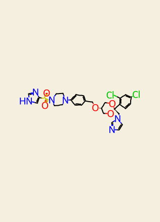 O=S(=O)(c1c[nH]cn1)N1CCN(c2ccc(CO[C@H]3CO[C@@](Cn4ccnc4)(c4ccc(Cl)cc4Cl)OC3)cc2)CC1